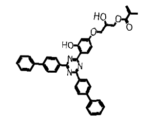 C=C(C)C(=O)OCC(O)COc1ccc(-c2nc(-c3ccc(-c4ccccc4)cc3)nc(-c3ccc(-c4ccccc4)cc3)n2)c(O)c1